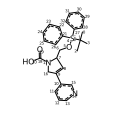 CC(C)(C)[Si](OCC1C=C(c2cccnc2)CN1C(=O)O)(c1ccccc1)c1ccccc1